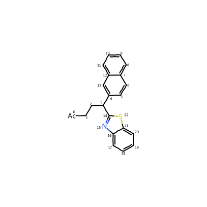 CC(=O)CCC(c1ccc2ccccc2c1)c1nc2ccccc2s1